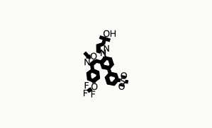 Cc1nc(-c2ccc(OC(F)(F)F)cc2)c(-c2cc(-c3cccc(S(C)(=O)=O)c3)ccc2-n2ccc(C(C)(C)O)n2)o1